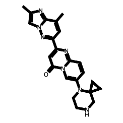 Cc1cn2nc(-c3cc(=O)n4cc(N5CCNCC56CC6)ccc4n3)cc(C)c2n1